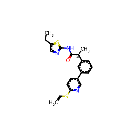 C=CSc1ccc(-c2cccc([C@H](C)C(=O)Nc3ncc(CC)s3)c2)cn1